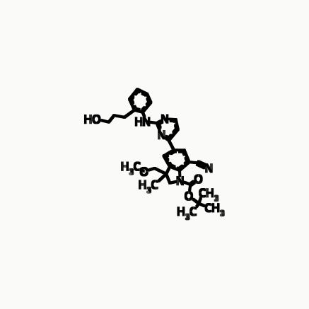 COCC1(C)CN(C(=O)OC(C)(C)C)c2c(C#N)cc(-c3ccnc(Nc4ccccc4CCCO)n3)cc21